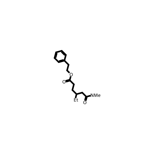 CCC(CCC(=O)OCCc1ccccc1)CC(=O)NC